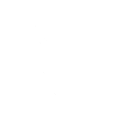 CCOc1cc(C2=NN(C(=O)CO/N=C/c3ccc(NN=C(C#N)C#N)cc3)CCC2)ccc1OC